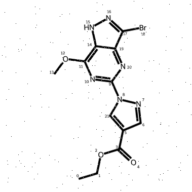 CCOC(=O)c1cnn(-c2nc(OC)c3[nH]nc(Br)c3n2)c1